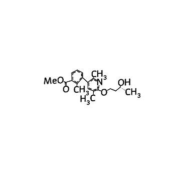 COC(=O)c1cccc(-c2cc(C)c(OCC[C@@H](C)O)nc2C)c1C